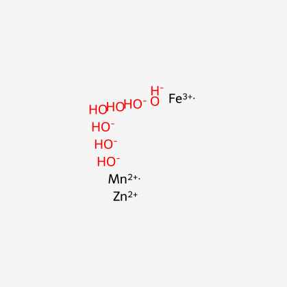 [Fe+3].[Mn+2].[OH-].[OH-].[OH-].[OH-].[OH-].[OH-].[OH-].[Zn+2]